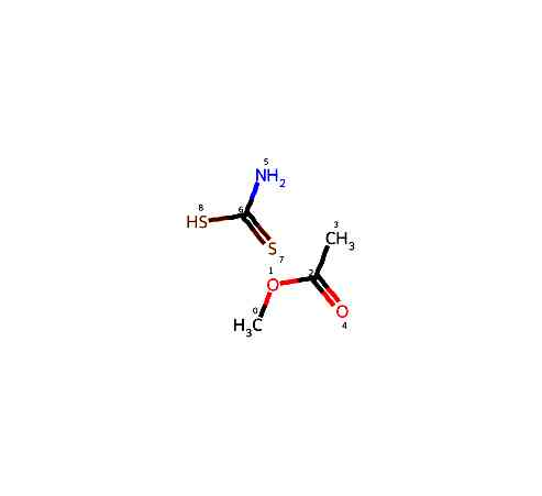 COC(C)=O.NC(=S)S